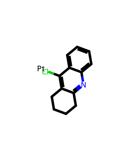 Clc1c2c(nc3ccccc13)CCCC2.[Pt]